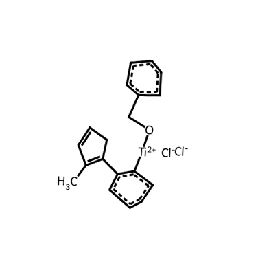 CC1=C(c2cccc[c]2[Ti+2][O]Cc2ccccc2)CC=C1.[Cl-].[Cl-]